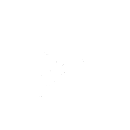 COc1ccc2c(c1)cc(CO)n2C(=O)OC(C)(C)C